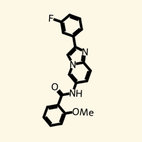 COc1ccccc1C(=O)Nc1ccc2nc(-c3cccc(F)c3)cn2c1